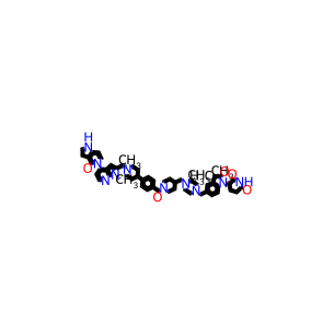 C[C@H]1CN(Cc2ccc3c(c2)C(C)(C)C(=O)N3[C@@H]2CCC(=O)NC2=O)CCN1CC1CCN(C(=O)c2ccc(C3CCN([C@@H](C)c4cc5c(-n6ccc7c(c6=O)CCN7)ccnc5n4C)CC3)cc2)CC1